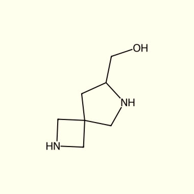 OCC1CC2(CNC2)CN1